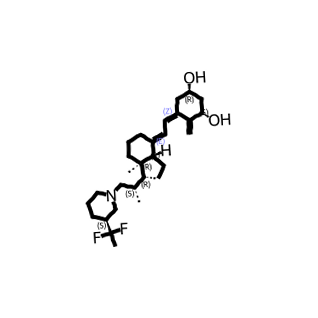 C=C1/C(=C\C=C2/CCC[C@]3(C)[C@@H]([C@H](C)CN4CCC[C@H](C(C)(F)F)C4)CC[C@@H]23)C[C@@H](O)C[C@@H]1O